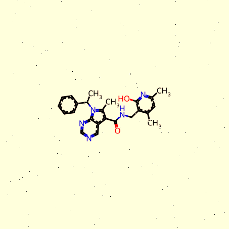 Cc1cc(C)c(CNC(=O)c2c(C)n(C(C)c3ccccc3)c3ncncc23)c(O)n1